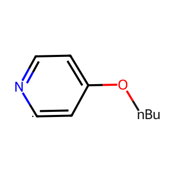 CCCCOc1c[c]ncc1